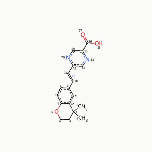 CC1(C)CCOc2ccc(/C=C/c3cnc(C(=O)O)cn3)cc21